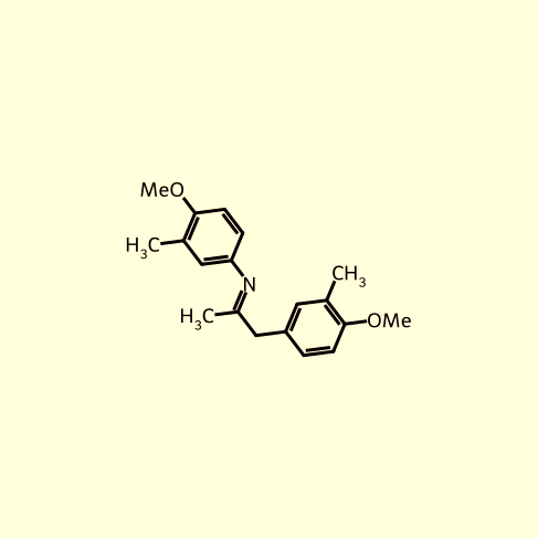 COc1ccc(CC(C)=Nc2ccc(OC)c(C)c2)cc1C